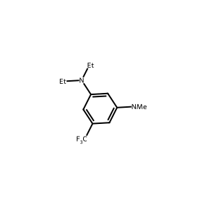 CCN(CC)c1cc(NC)cc(C(F)(F)F)c1